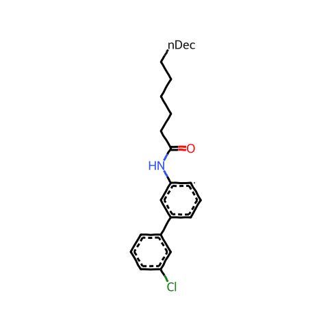 CCCCCCCCCCCCCCCC(=O)Nc1[c]ccc(-c2cccc(Cl)c2)c1